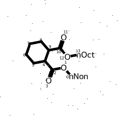 CCCCCCCCCOC(=O)C1CCCCC1C(=O)OCCCCCCCC